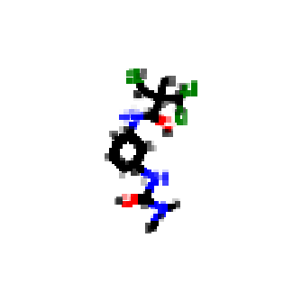 CN(C)C(=O)Nc1cccc(NC(=O)C(C)(CCl)C(Cl)Cl)c1